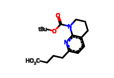 CC(C)(C)OC(=O)N1CCCc2ccc(CCCC(=O)O)nc21